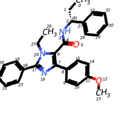 CC[C@@H](NC(=O)c1c(-c2ccc(OC)cc2)nc(-c2ccccc2)n1CC)c1ccccc1